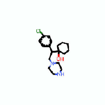 OC1(C(CN2CCNCC2)c2ccc(Cl)cc2)CCCCC1